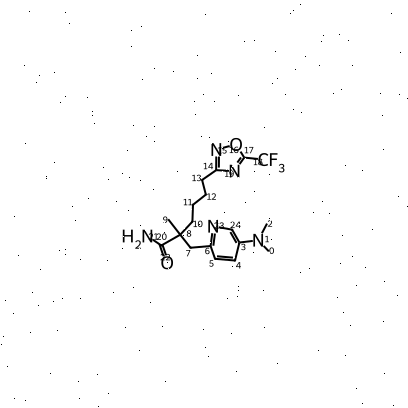 CN(C)c1ccc(CC(C)(CCCCc2noc(C(F)(F)F)n2)C(N)=O)nc1